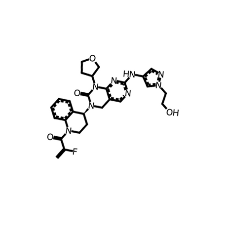 C=C(F)C(=O)N1CC[C@H](N2Cc3cnc(Nc4cnn(CCO)c4)nc3N(C3CCOC3)C2=O)c2ccccc21